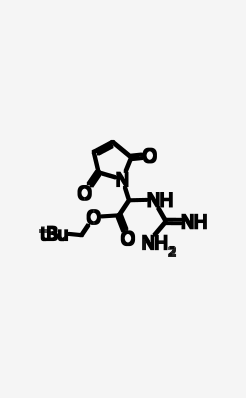 CC(C)(C)COC(=O)C(NC(=N)N)N1C(=O)C=CC1=O